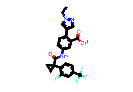 CCn1cc(-c2ccc(NC(=O)C3(c4ccc(C(F)(F)F)cc4F)CC3)cc2C(=O)O)cn1